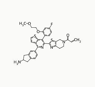 C=CC(=O)N1CCc2nc(-c3nc(-c4ccc5c(c4)CC(N)C5)c4ccsc4c3-c3ccc(F)cc3OCCOC)sc2C1